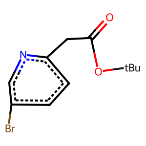 CC(C)(C)OC(=O)Cc1ccc(Br)cn1